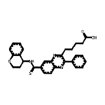 O=C(O)CCCCc1nc2cc(C(=S)NC3CCOc4ccccc43)ccc2nc1-c1ccccc1